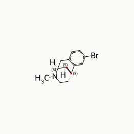 CN1CC[C@@]23CCCC[C@@H]2[C@@H]1Cc1ccc(Br)cc13